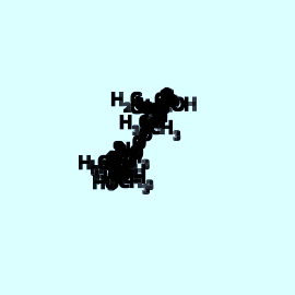 C=CC(=O)N1CCN(c2nc(O[C@H](C)CN(C)CCOCCOCCOCCOCC(=O)N[C@H](C(=O)N3C[C@H](O)C[C@H]3C(=O)N[C@@H](C)c3ccc(-c4scnc4C)cc3)C(C)(C)C)nc3c(F)c(-c4cc(O)cc5ccccc45)c(Cl)cc23)CC1